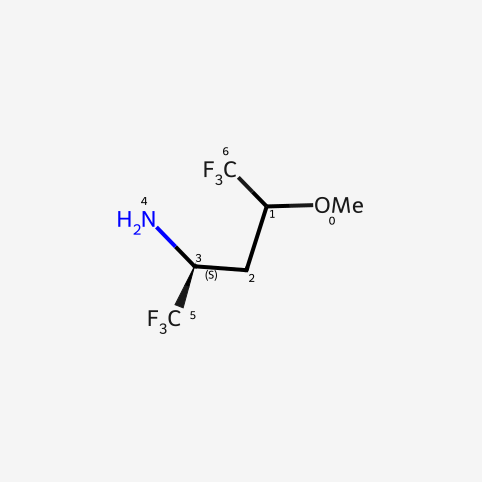 COC(C[C@H](N)C(F)(F)F)C(F)(F)F